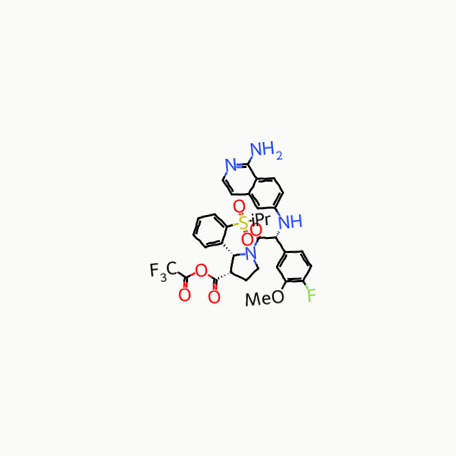 COc1cc([C@@H](Nc2ccc3c(N)nccc3c2)C(=O)N2CC[C@H](C(=O)OC(=O)C(F)(F)F)[C@@H]2c2ccccc2S(=O)(=O)C(C)C)ccc1F